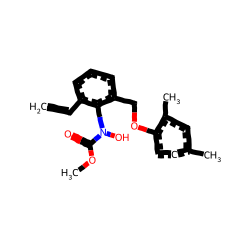 C=Cc1cccc(COc2ccc(C)cc2C)c1N(O)C(=O)OC